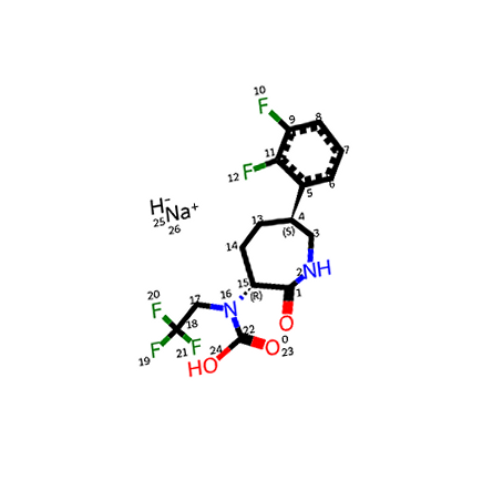 O=C1NC[C@H](c2cccc(F)c2F)CC[C@H]1N(CC(F)(F)F)C(=O)O.[H-].[Na+]